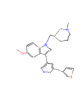 COc1ccc2c(c1)c(-c1cncc(-c3ccsc3)c1)cn2CC1CCCN(C)C1